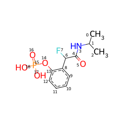 CC(C)NC(=O)C(F)c1ccccc1OP(=O)(O)O